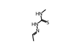 CC=NNC(=S)NC